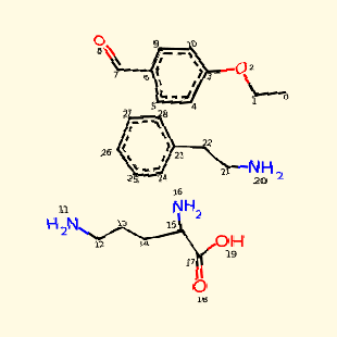 CCOc1ccc(C=O)cc1.NCCCC(N)C(=O)O.NCCc1ccccc1